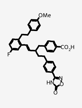 COc1ccc(CCc2ccc(F)cc2C=CC(CCc2ccc(-c3noc(=O)[nH]3)cc2)Cc2ccc(C(=O)O)cc2)cc1